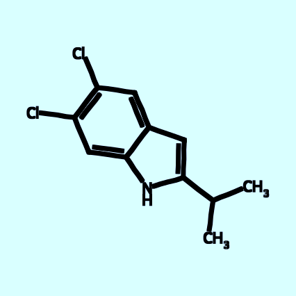 CC(C)c1cc2cc(Cl)c(Cl)cc2[nH]1